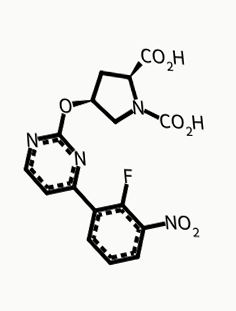 O=C(O)[C@@H]1C[C@H](Oc2nccc(-c3cccc([N+](=O)[O-])c3F)n2)CN1C(=O)O